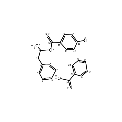 CC(Cc1ccccc1)OC(=S)c1ccc(Cl)cc1.OC(=S)c1ccccc1